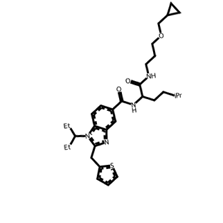 CCC(CC)n1c(Cc2cccs2)nc2cc(C(=O)NC(CCC(C)C)C(=O)NCCCOCC3CC3)ccc21